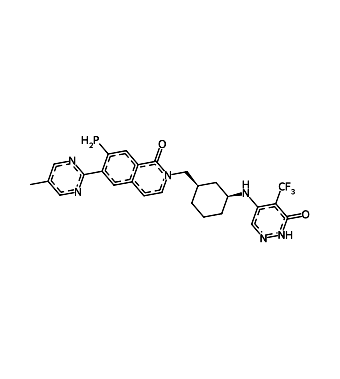 Cc1cnc(-c2cc3ccn(C[C@@H]4CCC[C@H](Nc5cn[nH]c(=O)c5C(F)(F)F)C4)c(=O)c3cc2P)nc1